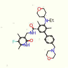 CCN(c1c(C)c(C(=O)NCc2c(C)c(F)c(C)[nH]c2=O)cc(-c2ccc(CN3CCOCC3)cc2)c1C)C1CCOCC1